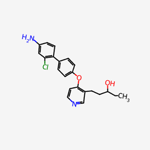 CCC(O)CCc1cnccc1Oc1ccc(-c2ccc(N)cc2Cl)cc1